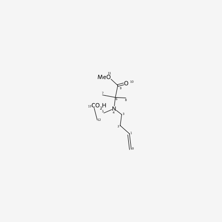 C=CCCN(C)C(C)(C)C(=O)OC.CC(=O)O